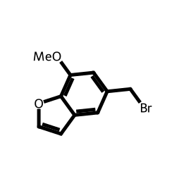 COc1cc(CBr)cc2ccoc12